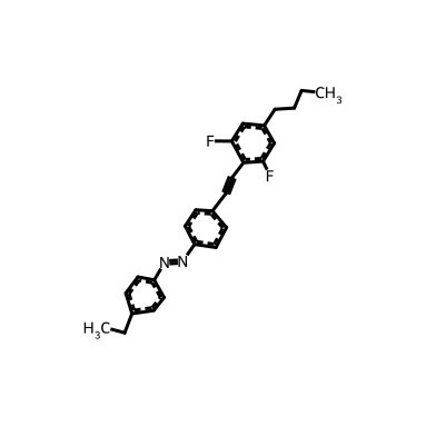 CCCCc1cc(F)c(C#Cc2ccc(N=Nc3ccc(CC)cc3)cc2)c(F)c1